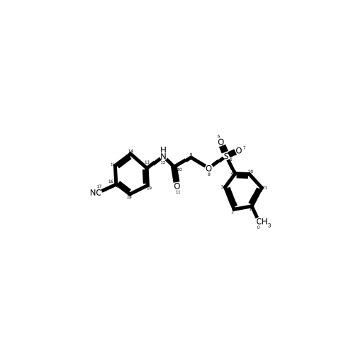 Cc1ccc(S(=O)(=O)OCC(=O)Nc2ccc(C#N)cc2)cc1